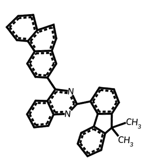 CC1(C)c2ccccc2-c2c(-c3nc(-c4ccc5c(ccc6ccccc65)c4)c4ccccc4n3)cccc21